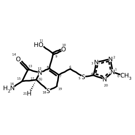 Cn1nnc(SCC2=C(C(=O)O)N3C(=O)C(N)[C@@H]3SC2)n1